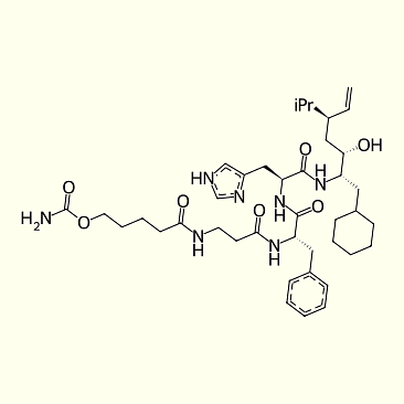 C=C[C@@H](C[C@H](O)[C@H](CC1CCCCC1)NC(=O)[C@H](Cc1c[nH]cn1)NC(=O)[C@H](Cc1ccccc1)NC(=O)CCNC(=O)CCCCOC(N)=O)C(C)C